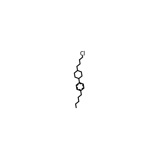 CCCCCc1ccc(C2CCC(CCCCCl)CC2)cc1